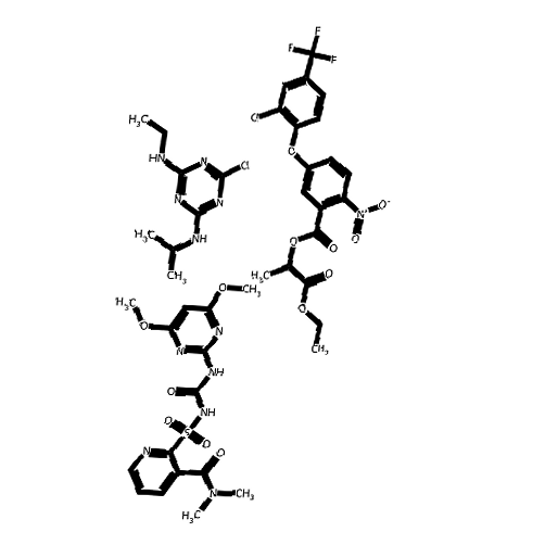 CCNc1nc(Cl)nc(NC(C)C)n1.CCOC(=O)C(C)OC(=O)c1cc(Oc2ccc(C(F)(F)F)cc2Cl)ccc1[N+](=O)[O-].COc1cc(OC)nc(NC(=O)NS(=O)(=O)c2ncccc2C(=O)N(C)C)n1